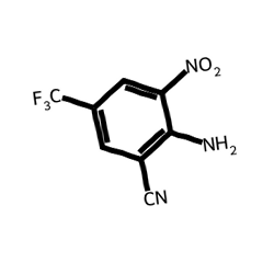 N#Cc1cc(C(F)(F)F)cc([N+](=O)[O-])c1N